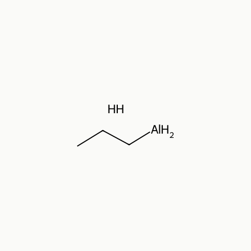 CC[CH2][AlH2].[HH]